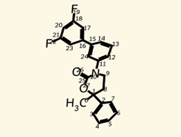 CC1(c2ccccc2)CCN(c2cccc(-c3cc(F)cc(F)c3)c2)C(=O)O1